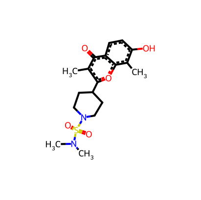 Cc1c(C2CCN(S(=O)(=O)N(C)C)CC2)oc2c(C)c(O)ccc2c1=O